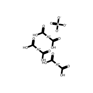 O=P([O-])([O-])[O-].O=[C](O)[Al+][C](=O)O.O=[C](O)[Al+][C](=O)O.O=[C](O)[Al+][C](=O)O